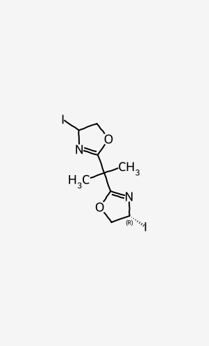 CC(C)(C1=NC(I)CO1)C1=N[C@H](I)CO1